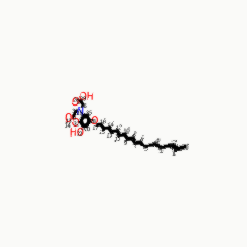 CCCCCCCCCCCCCCCCCCOc1cc(O)cc(N(CC(=O)O)CC(=O)OC)c1